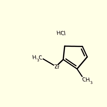 Cl.[CH3][Zr][C]1=C(C)C=CC1